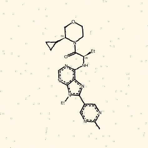 CC[C@@H](Nc1ncnc2c1nc(-c1cnc(C)nc1)n2CC)C(=O)N1CCOC[C@@H]1C1CC1